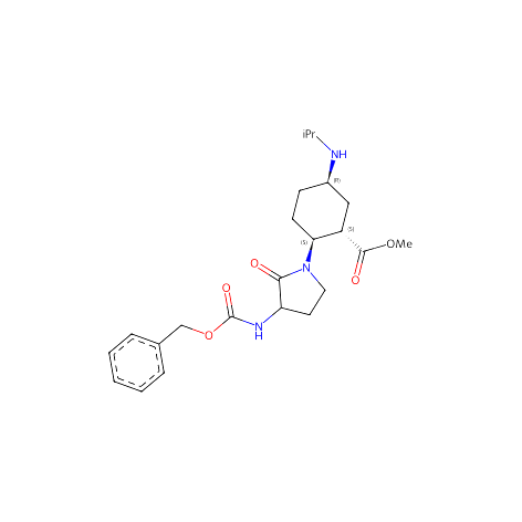 COC(=O)[C@H]1C[C@H](NC(C)C)CC[C@@H]1N1CCC(NC(=O)OCc2ccccc2)C1=O